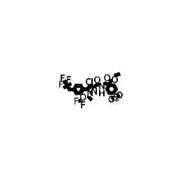 CCOC(=O)C1(CNC(=O)c2nn(CC)c(-c3ccc(CC(C)(C)C(F)(F)F)cc3OC(F)F)c2Cl)CCC(S(C)(=O)=O)CC1